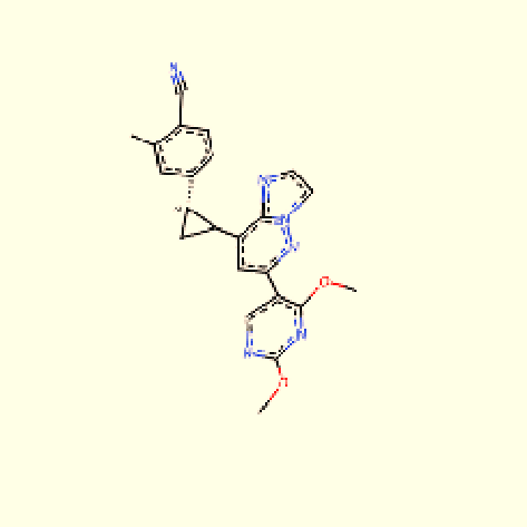 COc1ncc(-c2cc(C3C[C@@H]3c3ccc(C#N)c(C)c3)c3nccn3n2)c(OC)n1